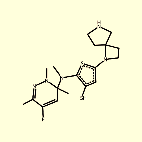 CC1=NN(C)C(C)(N(C)c2sc(N3CCC34CCNC4)cc2S)C=C1F